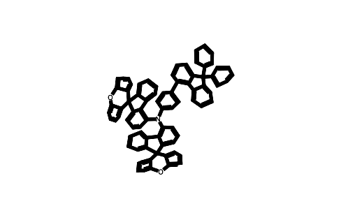 c1ccc(C2(c3ccccc3)c3ccccc3-c3c(-c4ccc(N(c5cccc6c5-c5ccccc5C65c6ccccc6Oc6ccccc65)c5cccc6c5-c5ccccc5C65c6ccccc6Oc6ccccc65)cc4)cccc32)cc1